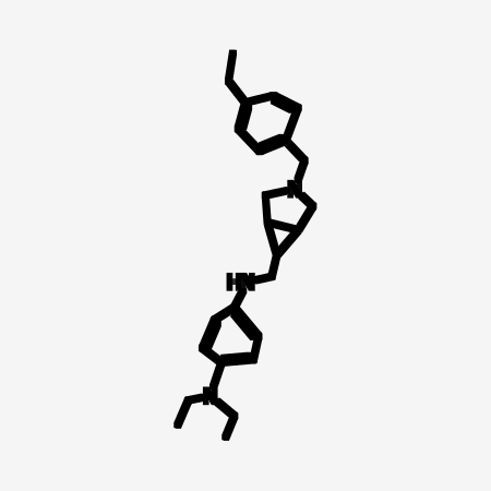 CCc1ccc(CN2CC3C(CNc4ccc(N(CC)CC)cc4)C3C2)cc1